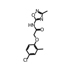 Cc1noc(NC(=O)COc2ccc(Cl)cc2C)n1